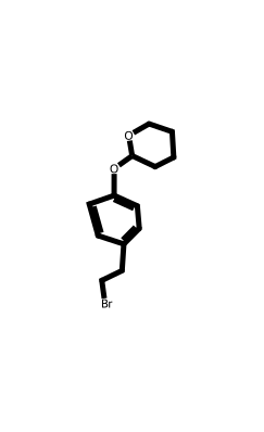 BrCCc1ccc(OC2CCCCO2)cc1